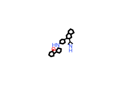 c1ccc2cc(C3CNC3)c(-c3ccc(Nc4cccc5c4oc4ccccc45)cc3)cc2c1